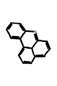 C1=CC2=CC=CC3=Nc4ccccc4C(=C1)C23